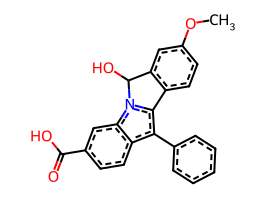 COc1ccc2c(c1)C(O)n1c-2c(-c2ccccc2)c2ccc(C(=O)O)cc21